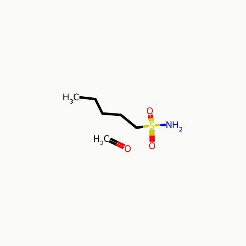 C=O.CCCCCS(N)(=O)=O